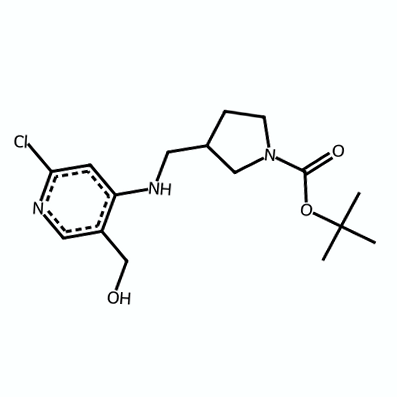 CC(C)(C)OC(=O)N1CCC(CNc2cc(Cl)ncc2CO)C1